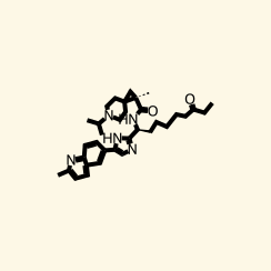 CCC(=O)CCCCC[C@H](NC(=O)[C@]1(C)CC12CCN(C(C)C)CC2)c1ncc(-c2ccc3nc(C)ccc3c2)[nH]1